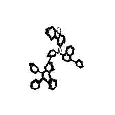 c1ccc(-c2ccc(N(c3cccc(-c4ccc5c(c4)c(-c4ccccc4)c(-c4ccccc4)c4ccccc45)c3)c3ccc4oc5ccccc5c4c3)c3ccccc23)cc1